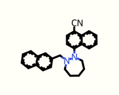 N#Cc1ccc(N2CCCCCN2Cc2ccc3ccccc3c2)c2ccccc12